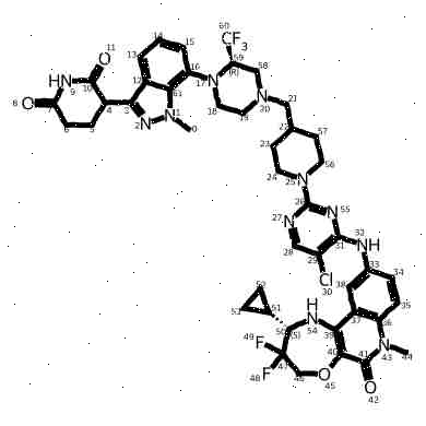 Cn1nc(C2CCC(=O)NC2=O)c2cccc(N3CCN(CC4CCN(c5ncc(Cl)c(Nc6ccc7c(c6)c6c(c(=O)n7C)OCC(F)(F)[C@H](C7CC7)N6)n5)CC4)C[C@@H]3C(F)(F)F)c21